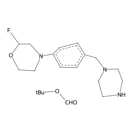 CC(C)(C)OC=O.FC1CN(c2ccc(CN3CCNCC3)cc2)CCO1